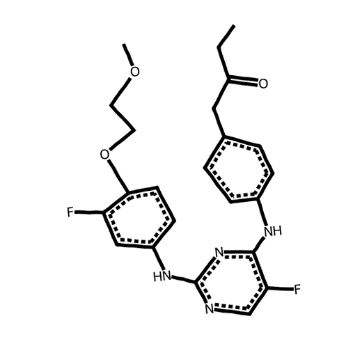 CCC(=O)Cc1ccc(Nc2nc(Nc3ccc(OCCOC)c(F)c3)ncc2F)cc1